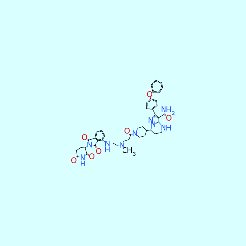 CN(CCNc1cccc2c1C(=O)N(C1CCC(=O)NC1=O)C2=O)CCC(=O)N1CCC([C@@H]2CCNc3c(C(N)=O)c(-c4ccc(Oc5ccccc5)cc4)nn32)CC1